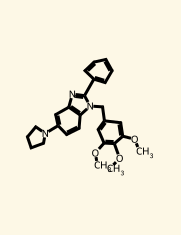 COc1cc(Cn2c(-c3ccccc3)nc3cc(N4CCCC4)ccc32)cc(OC)c1OC